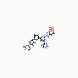 Oc1cccc(CNc2cc(-c3cncc(-c4ccc(N5CCCCC5)cc4)c3)nc(-c3ccccn3)n2)c1